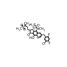 CN(CCN1Cc2c(c(O)c3ncc(Cc4cc(Cl)c(F)cc4F)cc3c2N(C)S(C)(=O)=O)C1=O)S(C)(=O)=O